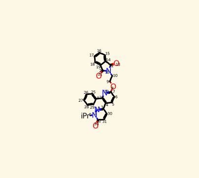 CC(C)n1nc(-c2ccc(OCCN3C(=O)c4ccccc4C3=O)nc2-c2ccccc2)ccc1=O